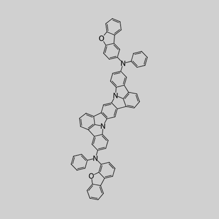 c1ccc(N(c2ccc3oc4ccccc4c3c2)c2ccc3c(c2)c2cccc4c5cc6c(cc5n3c24)c2cccc3c4cc(N(c5ccccc5)c5cccc7c5oc5ccccc57)ccc4n6c32)cc1